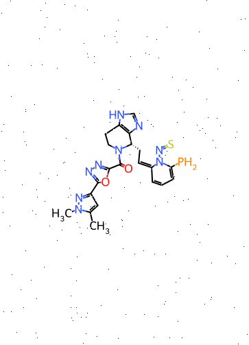 Cc1cc(-c2nnc(C(=O)N3CCc4[nH]cnc4[C@@H]3C/C=C3/C=CC=C(P)N3N=S)o2)nn1C